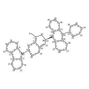 CC1=c2cc(-n3c4ccccc4c4ccccc43)ccc2=C[C@H](c2c3ccccc3c(-c3ccccc3)c3ccccc23)C1